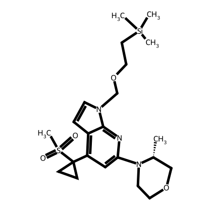 C[C@@H]1COCCN1c1cc(C2(S(C)(=O)=O)CC2)c2ccn(COCC[Si](C)(C)C)c2n1